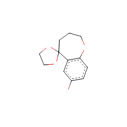 Brc1ccc2c(c1)C1(CCCO2)OCCO1